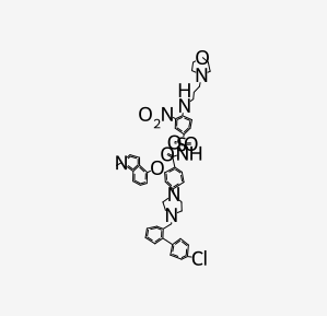 Cn1ccc2c(Oc3cc(N4CCN(Cc5ccccc5-c5ccc(Cl)cc5)CC4)ccc3C(=O)NS(=O)(=O)c3ccc(NCCCN4CCOCC4)c([N+](=O)[O-])c3)cccc21